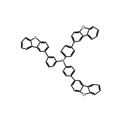 c1cc(-c2ccc3sc4ccccc4c3c2)cc(N(c2ccc(-c3ccc4oc5ccccc5c4c3)cc2)c2ccc(-c3ccc4oc5ccccc5c4c3)cc2)c1